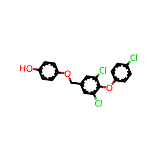 Oc1ccc(OCc2cc(Cl)c(Oc3ccc(Cl)cc3)c(Cl)c2)cc1